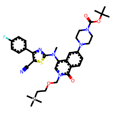 CN(c1nc(-c2ccc(F)cc2)c(C#N)s1)c1cn(COCC[Si](C)(C)C)c(=O)c2ccc(N3CCN(C(=O)OC(C)(C)C)CC3)cc12